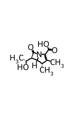 CC1=C(C(=O)O)N2C(=O)[C@H]([C@@H](C)O)[C@H]2[C@H]1C